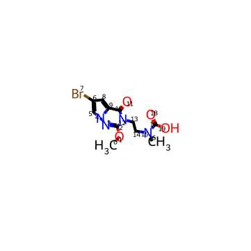 COc1nn2cc(Br)cc2c(=O)n1CCN(C)C(=O)O